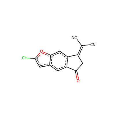 N#CC(C#N)=C1CC(=O)c2cc3cc(Cl)oc3cc21